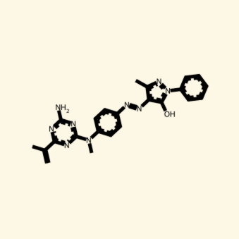 C=C(C)c1nc(N)nc(N(C)c2ccc(N=Nc3c(C)nn(-c4ccccc4)c3O)cc2)n1